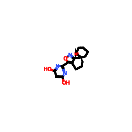 Oc1cc(O)nc(-c2onc3c2CCC[C@@]32CCCCC23OCCO3)n1